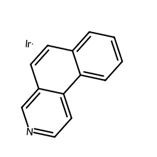 [Ir].c1ccc2c(c1)ccc1cnccc12